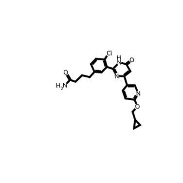 NC(=O)CCCc1ccc(Cl)c(-c2nc(-c3ccc(OCC4CC4)nc3)cc(=O)[nH]2)c1